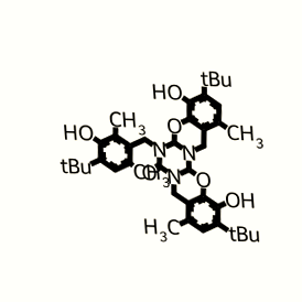 Cc1cc(C(C)(C)C)c(O)c(C)c1CN1C(=O)N2Cc3c(C)cc(C(C)(C)C)c(O)c3OC2N2Cc3c(C)cc(C(C)(C)C)c(O)c3OC12